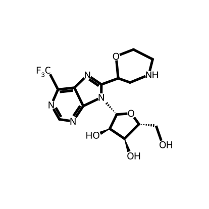 OC[C@H]1O[C@@H](n2c(C3CNCCO3)nc3c(C(F)(F)F)ncnc32)[C@H](O)[C@@H]1O